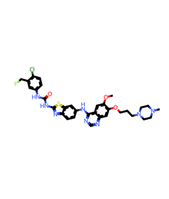 COc1cc2c(Nc3ccc4nc(NC(=O)Nc5ccc(Cl)c(CF)c5)sc4c3)ncnc2cc1OCCCN1CCN(C)CC1